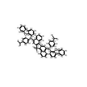 CC(C)c1ccc(N(c2cc3c(c4ccccc24)-c2cc(N(c4ccc(C(C)C)cc4)c4cccc5c4oc4ccccc45)c4ccccc4c2C3(C)C)c2cccc3c2oc2ccccc23)cc1